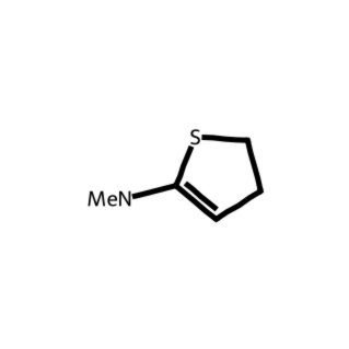 CNC1=CCCS1